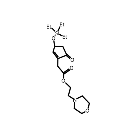 CC[Si](CC)(CC)OC1C=C(CC(=O)OCCN2CCOCC2)C(=O)C1